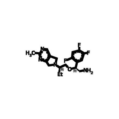 CC[C@H](CO[C@@H](CN)c1cc(F)c(F)cc1F)N1Cc2cnc(C)nc2C1